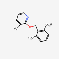 Cc1cccnc1OCc1c(C)cccc1C(=O)O